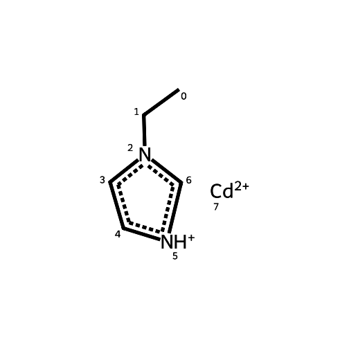 CCn1cc[nH+]c1.[Cd+2]